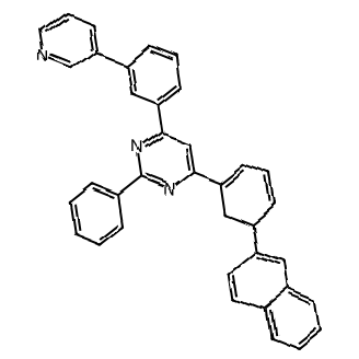 C1=CC(c2ccc3ccccc3c2)CC(c2cc(-c3cccc(-c4cccnc4)c3)nc(-c3ccccc3)n2)=C1